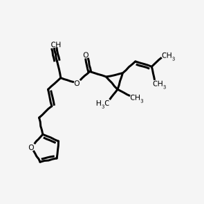 C#CC(C=CCc1ccco1)OC(=O)C1C(C=C(C)C)C1(C)C